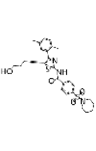 Cc1ccc(C)c(-c2nc(NC(=O)c3ccc(S(=O)(=O)N4CCCCC4)cc3)sc2C#CCCCO)c1